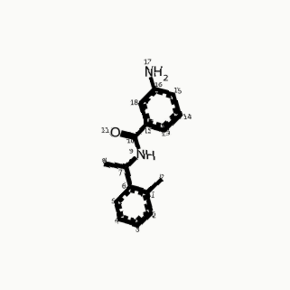 Cc1ccccc1C(C)NC(=O)c1c[c]cc(N)c1